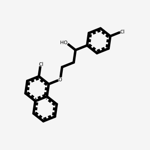 OC(CCOc1c(Cl)ccc2ccccc12)c1ccc(Cl)cc1